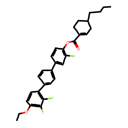 CCCCC1CC=C(C(=O)Oc2ccc(-c3ccc(-c4ccc(OCC)c(F)c4F)cc3)cc2F)CC1